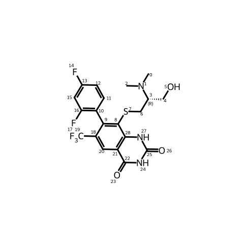 CN(C)[C@H](CO)CSc1c(-c2ccc(F)cc2F)c(C(F)(F)F)cc2c(=O)[nH]c(=O)[nH]c12